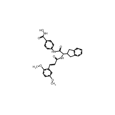 COc1ccc(OC)c(/C=C/C(=O)N[C@@H](C(=O)Nc2ccc(C(=O)NO)cc2)C2Cc3ccccc3C2)c1